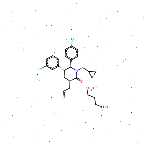 C=CCC1C[C@H](c2cccc(Cl)c2)[C@@H](c2ccc(Cl)cc2)N(CC2CC2)C1=O.O=CCCCC(=O)O